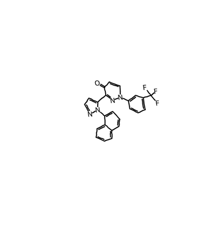 O=c1ccn(-c2cccc(C(F)(F)F)c2)nc1-c1ccnn1-c1cccc2ccccc12